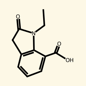 CCN1C(=O)Cc2cccc(C(=O)O)c21